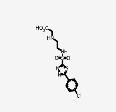 O=C(O)CNCCNS(=O)(=O)c1nnc(-c2ccc(Cl)cc2)s1